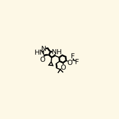 CC1(C)C=Cc2c(-c3[nH]c4cn[nH]c(=O)c4c3C3CC3)ccc(OC(F)F)c2O1